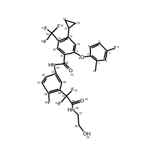 Cc1cc(F)ccc1Oc1cc(C2CC2)c(C(F)(F)F)cc1C(=O)Nc1ccc(F)c(C(F)(F)C(=O)NCCO)c1